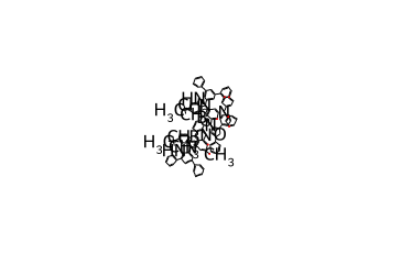 Cc1cc2c3c(c1)N1c4c(ccc5c4N(c4cc(N(c6ccccc6)c6ccccc6)cc6c4B5c4cc(C(C)(C)C)cc5c4N6c4cc(-c6ccccc6)cc(-c6ccccc6)c4N5)c4c(-c5ccccc5)oc(-c5ccccc5)c41)B3c1ccc(C(C)(C)C)c3c1N2c1cc(-c2ccccc2)cc(-c2ccccc2)c1N3